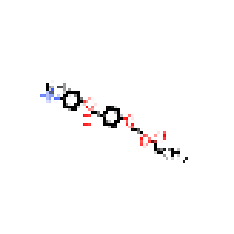 C=CC(=O)OCCOc1ccc(C(=O)Oc2ccc(NC)cc2)cc1